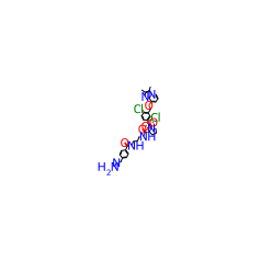 Cc1nc2c(OCc3c(Cl)ccc(S(=O)(=O)N4CCC[C@H]4C(=O)NCCCNC(=O)c4ccc(C=NN)cc4)c3Cl)cccn2c1C